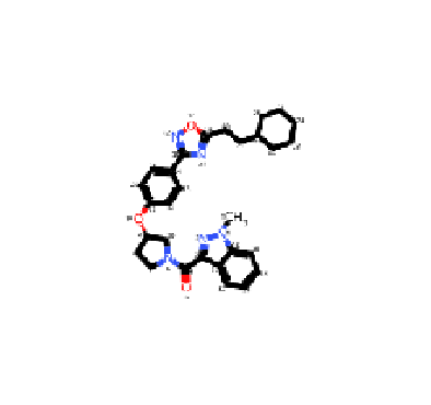 Cn1nc(C(=O)N2CC[C@@H](Oc3ccc(-c4noc(CCC5CCCCC5)n4)cc3)C2)c2ccccc21